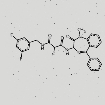 CN1C(=O)C(NC(=O)C(F)C(=O)NCc2cc(F)cc(F)c2)N=C(c2ccccc2)c2ccccc21